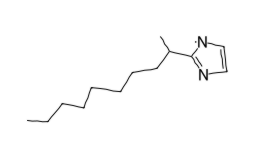 CCCCCCCCC(C)C1=NC=C[N]1